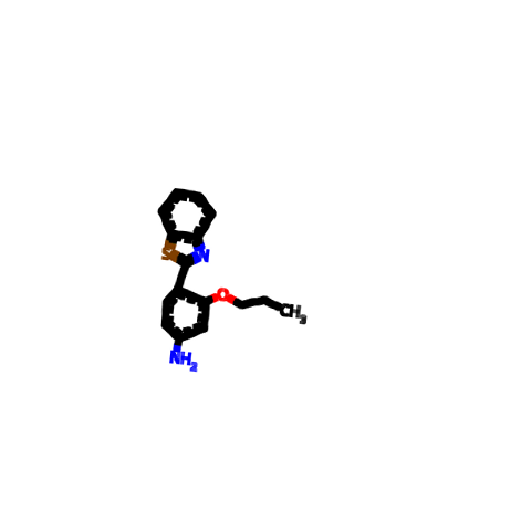 CCCOc1cc(N)ccc1-c1nc2ccccc2s1